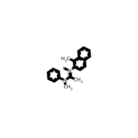 C/C(N(C)c1ccccc1)=[N+](/I)c1ccc2ccccc2c1C